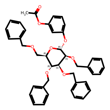 CC(=O)Oc1cccc(O[C@H]2O[C@H](COCc3ccccc3)[C@@H](OCc3ccccc3)[C@H](OCc3ccccc3)[C@@H]2OCc2ccccc2)c1